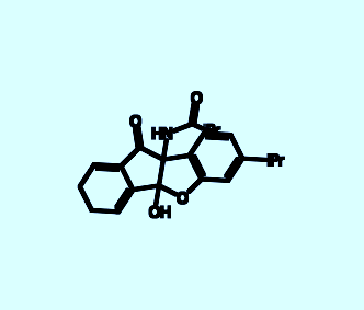 CC(C)C(=O)NC12C(=O)C3=CCCC=C3C1(O)Oc1cc(C(C)C)ccc12